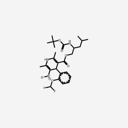 CC1=C(C(=O)OCC(CC(C)C)NC(=O)OC(C)(C)C)C(c2ccccc2OC(F)F)C([N+](=O)[O-])=C(C)N1